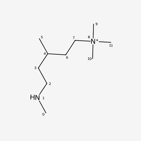 CNCCC(C)CC[N+](C)(C)C